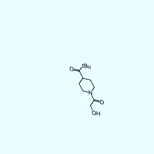 CC(C)(C)C(=O)C1CCN(C(=O)CO)CC1